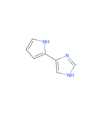 [c]1nc(-c2ccc[nH]2)c[nH]1